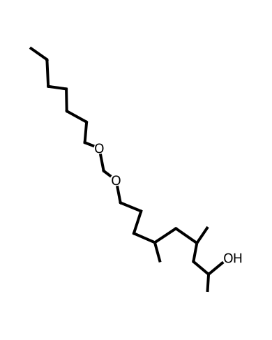 CCCCCCCOCOCCCC(C)CC(C)CC(C)O